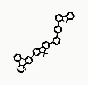 CC1(C)c2cc(-c3cccc(-c4ccc(-c5cccc6c5oc5ccccc56)cc4)c3)ccc2-c2ccc(-c3ccc4c(c3)c3ccccc3c3nccnc43)cc21